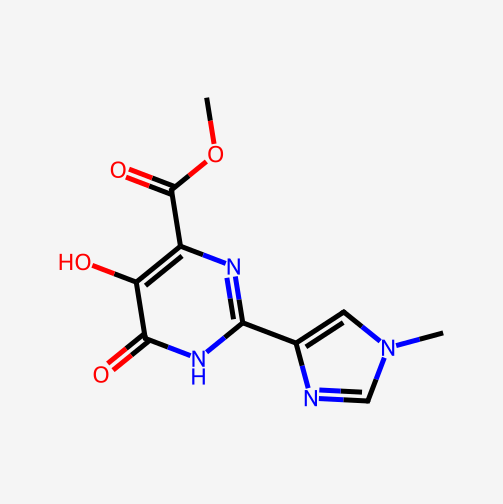 COC(=O)c1nc(-c2cn(C)cn2)[nH]c(=O)c1O